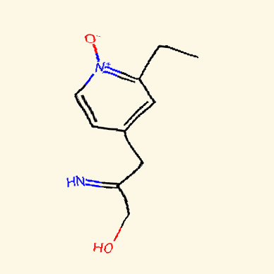 CCc1cc(CC(=N)CO)cc[n+]1[O-]